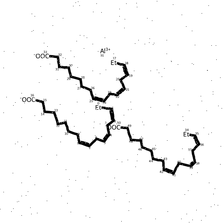 CC/C=C\C/C=C\C/C=C\CCCCCCCC(=O)[O-].CC/C=C\C/C=C\C/C=C\CCCCCCCC(=O)[O-].CC/C=C\C/C=C\C/C=C\CCCCCCCC(=O)[O-].[Al+3]